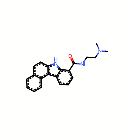 CN(C)CCNC(=O)c1cccc2c1[nH]c1ccc3ccccc3c12